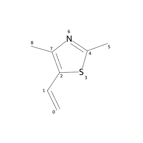 C=Cc1sc(C)nc1C